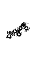 C1=CCC(C2Nc3ccc4c(c3O2)c2ccccc2n4-c2ccc(N3C=CNC3c3ccccc3)cc2)C=C1